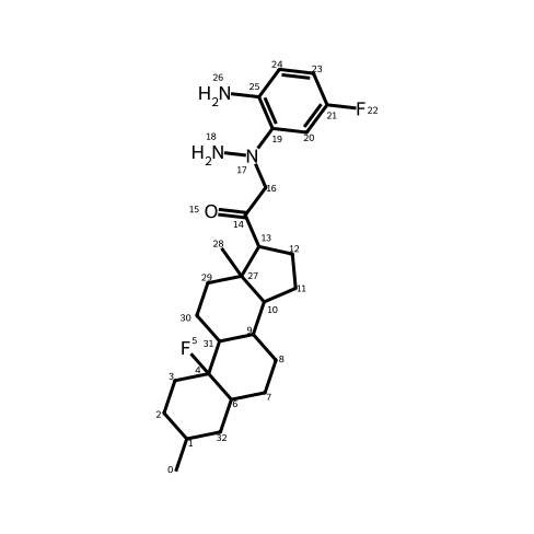 CC1CCC2(F)C(CCC3C4CCC(C(=O)CN(N)c5cc(F)ccc5N)C4(C)CCC32)C1